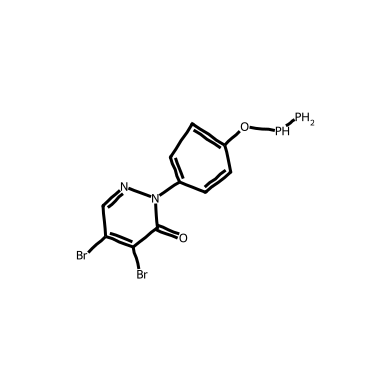 O=c1c(Br)c(Br)cnn1-c1ccc(OPP)cc1